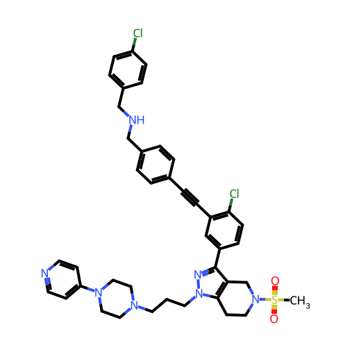 CS(=O)(=O)N1CCc2c(c(-c3ccc(Cl)c(C#Cc4ccc(CNCc5ccc(Cl)cc5)cc4)c3)nn2CCCN2CCN(c3ccncc3)CC2)C1